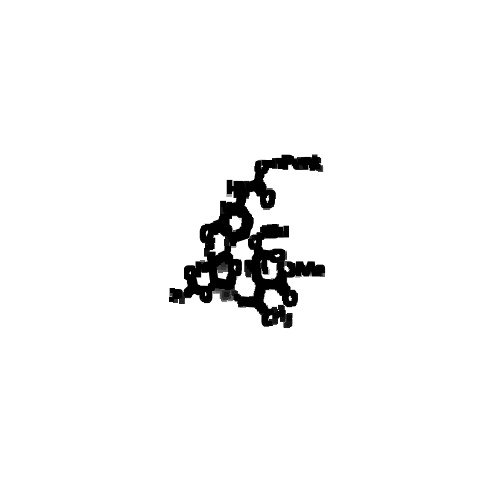 CCCCCOC(=O)Nc1ccn([C@@H]2O[C@H](CC(C)C(NC(=O)OC(C)(C)C)C(=O)OC)[C@@H](OC(=O)C(C)C)C2(F)F)c(=O)n1